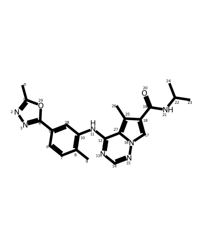 Cc1nnc(-c2ccc(C)c(Nc3ncnn4cc(C(=O)NC(C)C)c(C)c34)c2)o1